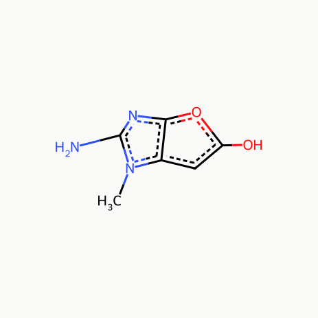 Cn1c(N)nc2oc(O)cc21